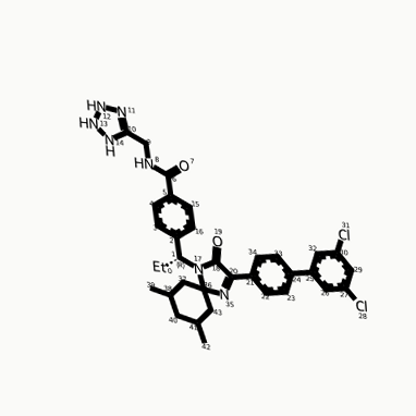 CC[C@H](c1ccc(C(=O)NCC2=NNNN2)cc1)N1C(=O)C(c2ccc(-c3cc(Cl)cc(Cl)c3)cc2)=NC12CC(C)CC(C)C2